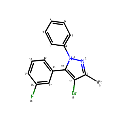 CC(C)c1nn(-c2ccccc2)c(-c2cccc(F)c2)c1Br